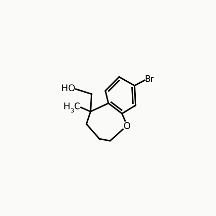 CC1(CO)CCCOc2cc(Br)ccc21